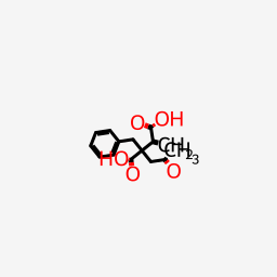 C=C(C(=O)O)C(CC(C)=O)(Cc1ccccc1)C(=O)O